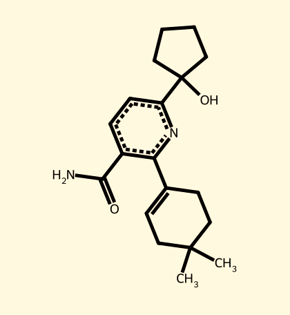 CC1(C)CC=C(c2nc(C3(O)CCCC3)ccc2C(N)=O)CC1